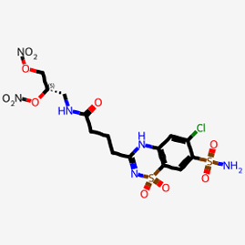 NS(=O)(=O)c1cc2c(cc1Cl)NC(CCCC(=O)NC[C@@H](CO[N+](=O)[O-])O[N+](=O)[O-])=NS2(=O)=O